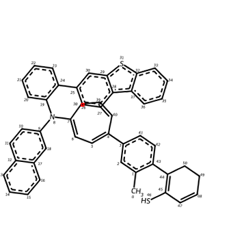 Cc1cc(C2=CC=C(N(c3ccc4ccccc4c3)c3ccccc3-c3ccc4c(c3)sc3ccccc34)CC=C2)ccc1C1=C(S)C=CCC1